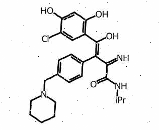 CC(C)NC(=O)C(=N)/C(=C(\O)c1cc(Cl)c(O)cc1O)c1ccc(CN2CCCCC2)cc1